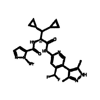 Cc1n[nH]c(C)c1-c1cnc(NC(=O)[C@@H](NC(=O)c2ccnn2C(C)C)C(C2CC2)C2CC2)cc1C(F)F